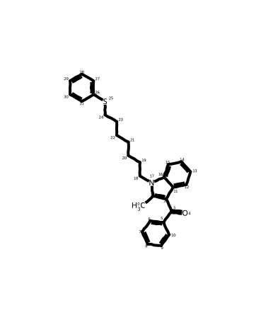 Cc1c(C(=O)c2ccccc2)c2ccccc2n1CCCCCCCSc1ccccc1